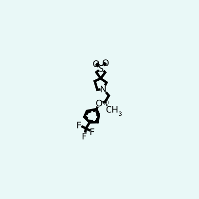 C[C@@H](CN1CCC2(C1)CS(=O)(=O)C2)Oc1ccc(C(F)(F)F)cc1